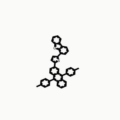 Cc1ccc(-c2c3ccccc3c(-c3ccc(C)cc3)c3cc(-c4ccc(-c5cccc6c5oc5ccccc56)s4)ccc23)cc1